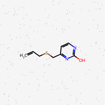 C=CCSCc1ccnc(O)n1